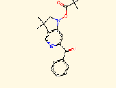 CC(C)(C)C(=O)ON1CC(C)(C)c2cnc(C(=O)c3ccccc3)cc21